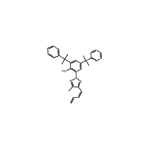 C=C/C=C\c1nn(-c2cc(C(C)(C)c3ccccc3)cc(C(C)(C)c3ccccc3)c2O)nc1C